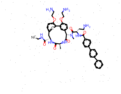 C[C@@H]1NC(=O)[C@@H](N(C)C(=O)[C@H](CCN)NC(=O)c2ccc(-c3ccc(-c4ccccc4)cc3)cc2)c2ccc(OCCN)c(c2)-c2cc(ccc2OCCN)C[C@@H](C(=O)NCC#N)NC1=O